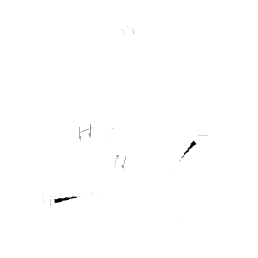 CN1[C@@H]2CC[C@H]1CC(C=O)C2